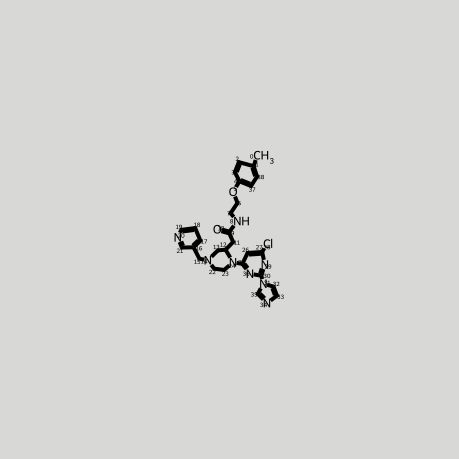 Cc1ccc(OCCNC(=O)CC2CN(Cc3cccnc3)CCN2c2cc(Cl)nc(-n3ccnc3)n2)cc1